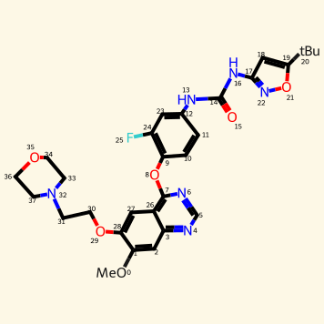 COc1cc2ncnc(Oc3ccc(NC(=O)Nc4cc(C(C)(C)C)on4)cc3F)c2cc1OCCN1CCOCC1